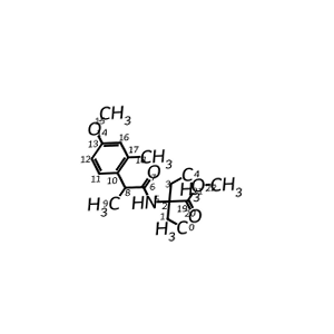 CCC(CC)(NC(=O)C(C)c1ccc(OC)cc1C)C(=O)OC